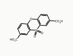 O=C(O)c1ccc2c(c1)S(=O)(=O)c1cc(C(=O)O)ccc1O2